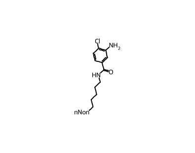 CCCCCCCCCCCCCCNC(=O)c1ccc(Cl)c(N)c1